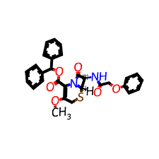 COC1=C(C(=O)OC(c2ccccc2)c2ccccc2)N2C(=O)[C@@H](NC(=O)COc3ccccc3)[C@@H]2SC1